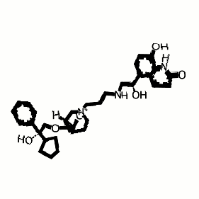 O=c1ccc2c([C@H](O)CNCCC[N+]34CCC(CC3)[C@H](OC[C@](O)(c3ccccc3)C3CCCC3)C4)ccc(O)c2[nH]1